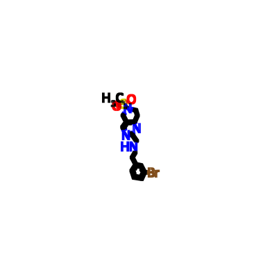 CS(=O)(=O)N1CCc2nc(CNCCc3cccc(Br)c3)ncc2C1